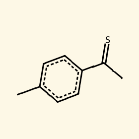 CC(=S)c1ccc(C)cc1